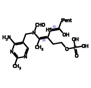 CCCC(C)/C(O)=[SH]/C(CCOP(=O)(O)O)=C(/C)N(C=O)Cc1cnc(C)nc1N